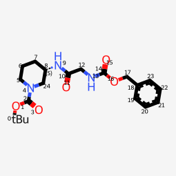 CC(C)(C)OC(=O)N1CCC[C@H](NC(=O)CNC(=O)OCc2ccccc2)C1